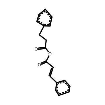 O=C(C=Cc1ccccc1)OC(=O)CCc1ccccc1